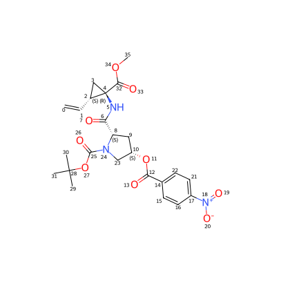 C=C[C@@H]1C[C@]1(NC(=O)[C@@H]1C[C@H](OC(=O)c2ccc([N+](=O)[O-])cc2)CN1C(=O)OC(C)(C)C)C(=O)OC